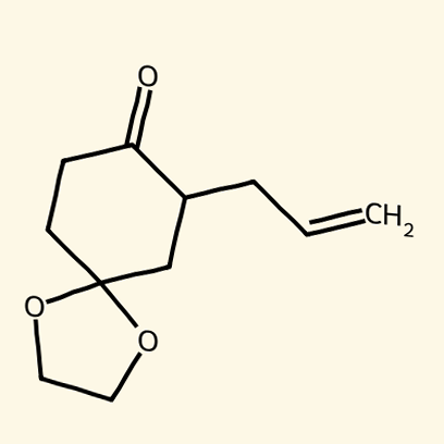 C=CCC1CC2(CCC1=O)OCCO2